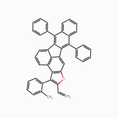 C=Cc1oc2cc3c4c(cccc4c2c1-c1ccccc1C)-c1c-3c(-c2ccccc2)c2ccccc2c1-c1ccccc1